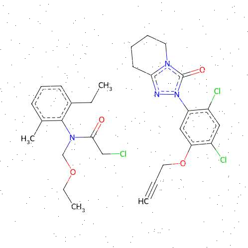 C#CCOc1cc(-n2nc3n(c2=O)CCCC3)c(Cl)cc1Cl.CCOCN(C(=O)CCl)c1c(C)cccc1CC